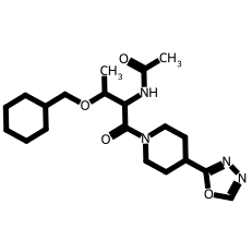 CC(=O)NC(C(=O)N1CCC(c2nnco2)CC1)C(C)OCC1CCCCC1